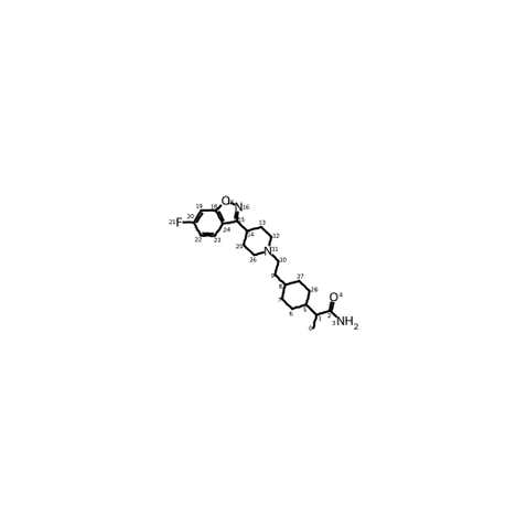 CC(C(N)=O)C1CCC(CCN2CCC(c3noc4cc(F)ccc34)CC2)CC1